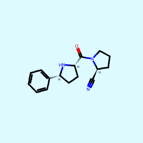 N#C[C@@H]1CCCN1C(=O)[C@@H]1CC[C@H](c2ccccc2)N1